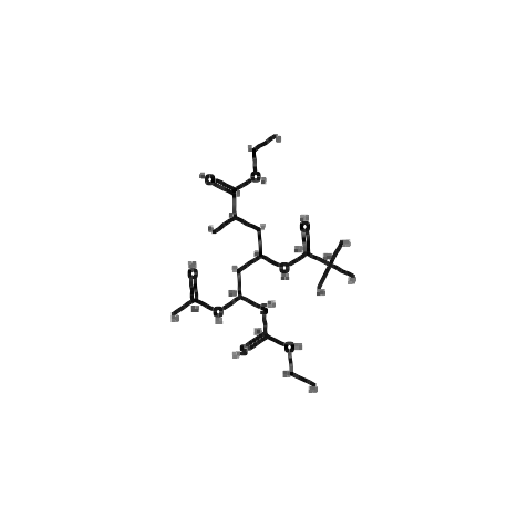 CCOC(=O)C(C)CC(CC(OC(C)=O)SC(=S)OCC)OC(=O)C(C)(C)C